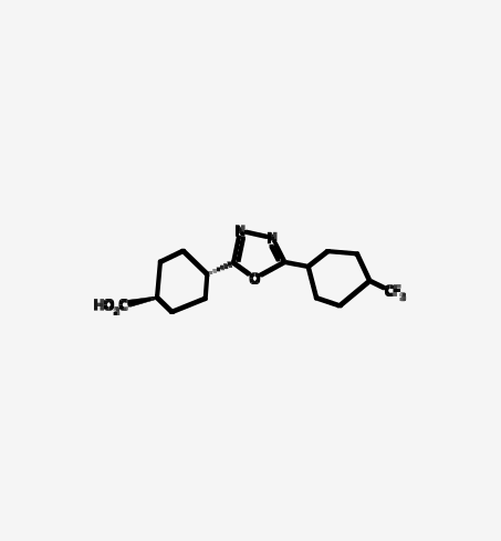 O=C(O)[C@H]1CC[C@H](c2nnc(C3CCC(C(F)(F)F)CC3)o2)CC1